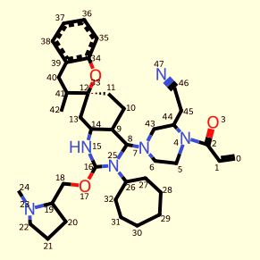 C=CC(=O)N1CCN(C2C3CC[C@@]4(CC3NC(OCC3CCCN3C)N2C2CCCCCC2)Oc2ccccc2CC4C)CC1CC#N